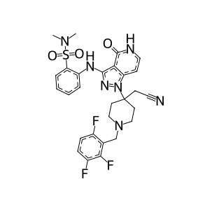 CN(C)S(=O)(=O)c1ccccc1Nc1nn(C2(CC#N)CCN(Cc3c(F)ccc(F)c3F)CC2)c2cc[nH]c(=O)c12